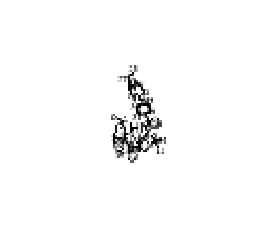 CCO[C@H]1CN(C(=O)[C@H](CC(C)(C)C)NC(=O)c2ccc(N3CCN(C(C)C)CC3)cc2)[C@@H]2C(=O)CO[C@H]12